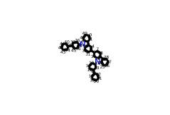 C1=CC2c3cc(C4C=Cc5c(n(C6C=CC=C(c7ccccc7)C6)c6ccccc56)C4)ccc3N(c3ccc(-c4ccccc4)cc3)C2C=C1